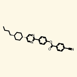 CCCC[C@H]1CC[C@H](c2cnc(-c3ccc(OC(=O)c4ccc(C#N)cc4)cc3)nc2)CC1